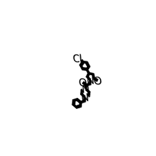 O=C(CN1CC(c2ccc(Cl)cc2)CC1=O)N1CCN(Cc2ccccc2)CC1